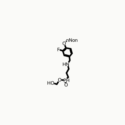 CCCCCCCCCOc1ccc(CNCCC[PH](=O)OCO)cc1F